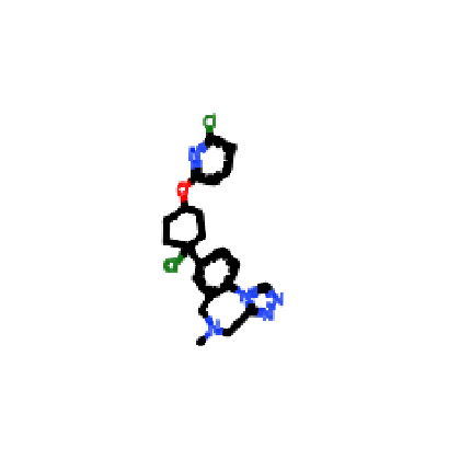 CN1Cc2cc(C3(Cl)CCC(Oc4cccc(Cl)n4)CC3)ccc2-n2cnnc2C1